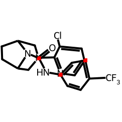 O=C(Nc1ccc(C(F)(F)F)cc1)N1C2CCC1CN(c1ncccc1Cl)C2